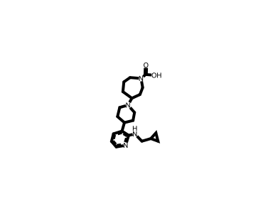 O=C(O)N1CCCC(N2CCC(c3cccnc3NCC3CC3)CC2)CC1